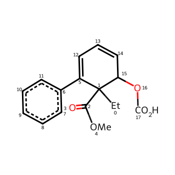 CCC1(C(=O)OC)C(c2ccccc2)=CC=CC1OC(=O)O